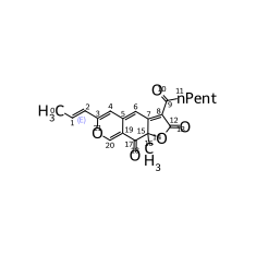 C/C=C/C1=CC2=CC3=C(C(=O)CCCCC)C(=O)OC3(C)C(=O)C2=CO1